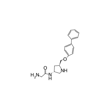 NCC(=O)N[C@H]1CN[C@H](COc2ccc(-c3ccccc3)cc2)C1